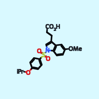 COc1ccc2c(c1)c(CCC(=O)O)cn2S(=O)(=O)c1ccc(OC(C)C)cc1